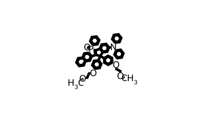 COCCOc1ccc(C2(c3ccc(OCCOC)cc3)C3=C(c4ccc(N(c5ccccc5)c5ccccc5)cc42)P(=O)(c2ccccc2)c2cc4ccccc4cc23)cc1